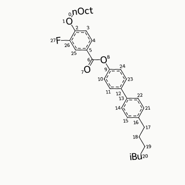 CCCCCCCCOc1ccc(C(=O)Oc2ccc(-c3ccc(CCCC(C)CC)cc3)cc2)cc1F